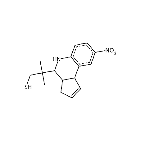 CC(C)(CS)C1Nc2ccc([N+](=O)[O-])cc2C2C=CCC21